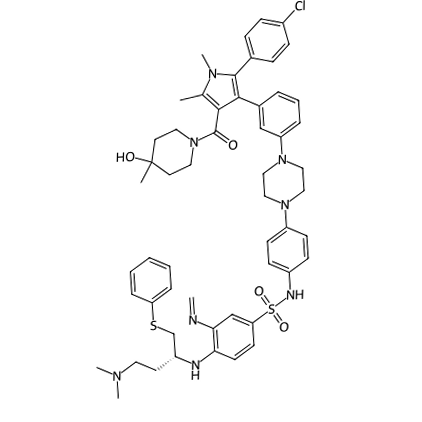 C=Nc1cc(S(=O)(=O)Nc2ccc(N3CCN(c4cccc(-c5c(C(=O)N6CCC(C)(O)CC6)c(C)n(C)c5-c5ccc(Cl)cc5)c4)CC3)cc2)ccc1N[C@H](CCN(C)C)CSc1ccccc1